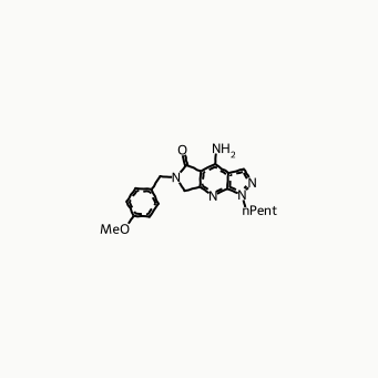 CCCCCn1ncc2c(N)c3c(nc21)CN(Cc1ccc(OC)cc1)C3=O